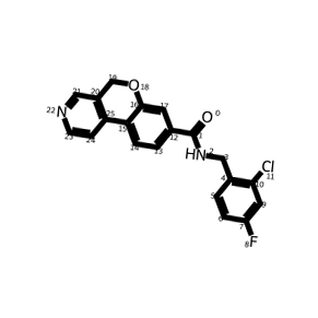 O=C(NCc1ccc(F)cc1Cl)c1ccc2c(c1)OCc1cnccc1-2